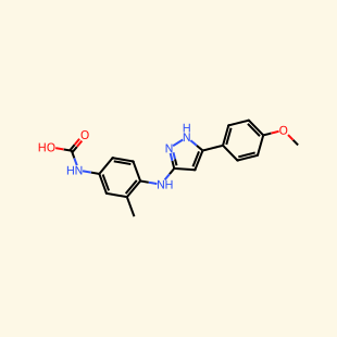 COc1ccc(-c2cc(Nc3ccc(NC(=O)O)cc3C)n[nH]2)cc1